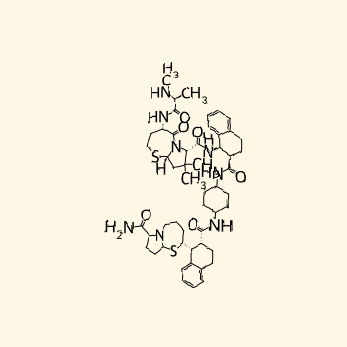 CN[C@@H](C)C(=O)N[C@H]1CCS[C@H]2CC(C)(C)[C@@H](C(=O)N[C@H]3c4ccccc4CC[C@H]3C(=O)NC3CCC(NC(=O)[C@@H]4CCc5ccccc5[C@@H]4C4CCCN5C(CCC5C(N)=O)S4)CC3)N2C1=O